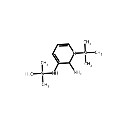 C[Si](C)(C)NC1=CC=CN([Si](C)(C)C)C1N